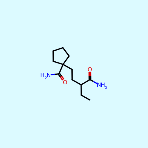 CCC(CCC1(C(N)=O)CCCC1)C(N)=O